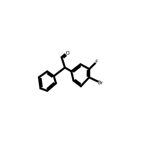 O=CC(c1ccccc1)c1ccc(Br)c(F)c1